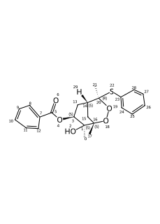 C[C@]1(O)[C@@H](OC(=O)c2ccccc2)C[C@H]2C[C@]1(C)OO[C@]2(C)Sc1ccccc1